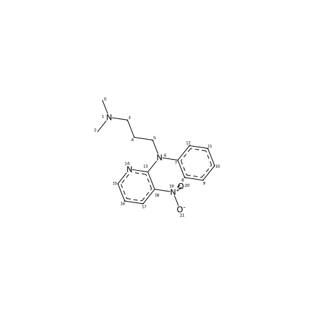 CN(C)CCCN(c1ccccc1)c1ncccc1[N+](=O)[O-]